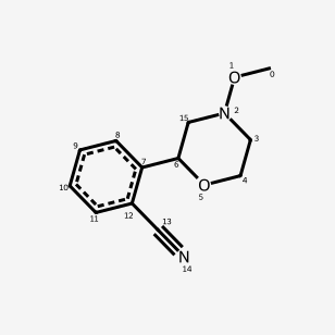 CON1CCOC(c2ccccc2C#N)C1